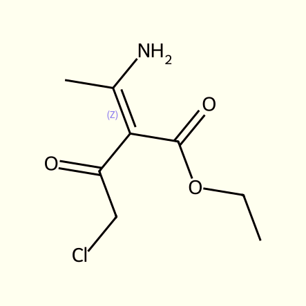 CCOC(=O)/C(C(=O)CCl)=C(/C)N